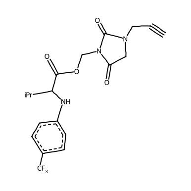 C#CCN1CC(=O)N(COC(=O)C(Nc2ccc(C(F)(F)F)cc2)C(C)C)C1=O